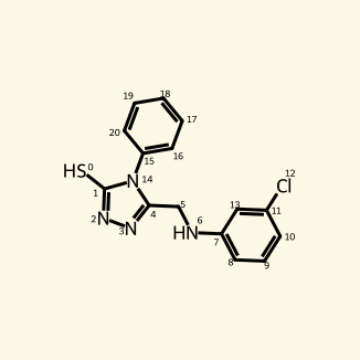 Sc1nnc(CNc2cccc(Cl)c2)n1-c1ccccc1